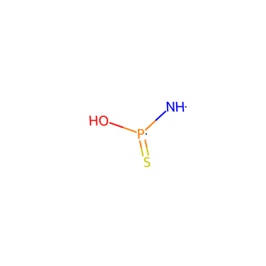 [NH][P](O)=S